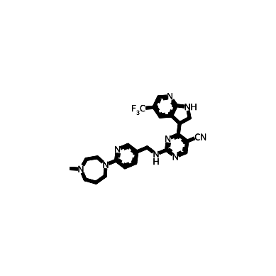 CN1CCCN(c2ccc(CNc3ncc(C#N)c(C4CNc5ncc(C(F)(F)F)cc54)n3)cn2)CC1